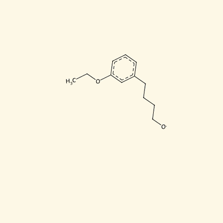 CCOc1cccc(CCCC[O])c1